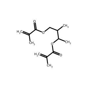 C=C(C)C(=O)OCC(C)C(C)OC(=O)C(=C)C